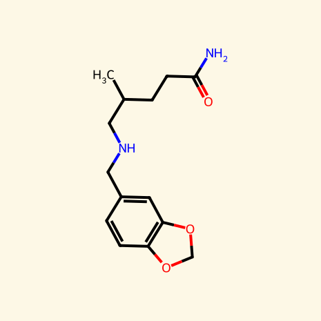 CC(CCC(N)=O)CNCc1ccc2c(c1)OCO2